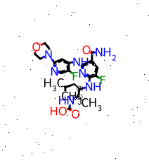 CC(C)C[C@@H](Nc1nc(Nc2cc(N3CCOCC3)ncc2F)c(C(N)=O)cc1F)[C@H](C)NC(=O)O